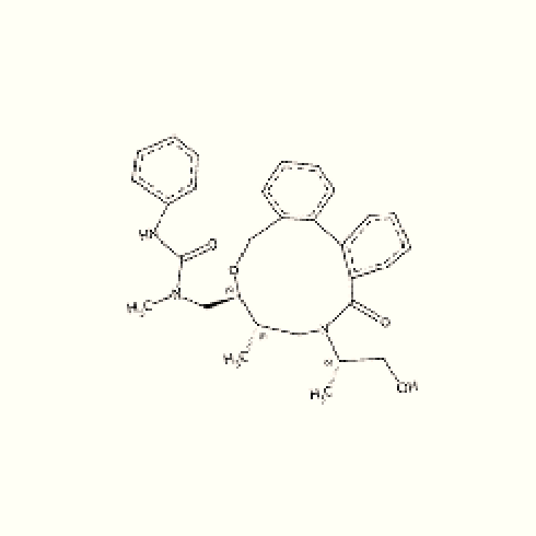 C[C@H]1CN([C@@H](C)CO)C(=O)c2ccccc2-c2ccccc2CO[C@@H]1CN(C)C(=O)Nc1ccccc1